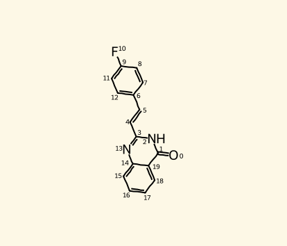 O=c1[nH]c(C=Cc2ccc(F)cc2)nc2ccccc12